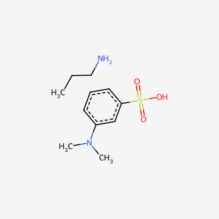 CCCN.CN(C)c1cccc(S(=O)(=O)O)c1